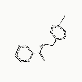 O=C(NCc1ccc(I)cc1)c1cnccn1